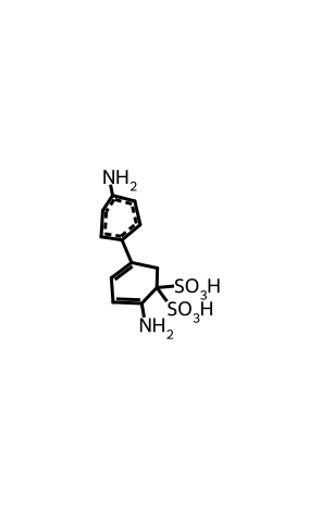 NC1=CC=C(c2ccc(N)cc2)CC1(S(=O)(=O)O)S(=O)(=O)O